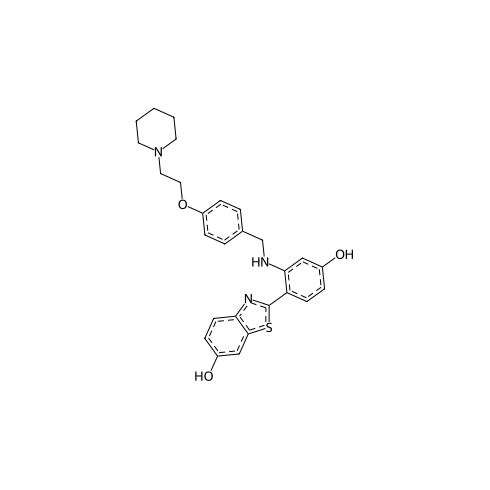 Oc1ccc(-c2nc3ccc(O)cc3s2)c(NCc2ccc(OCCN3CCCCC3)cc2)c1